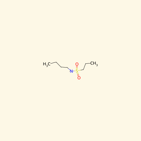 CCCC[N]S(=O)(=O)CCC